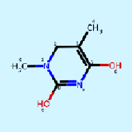 [CH2]N1CC(C)=C(O)N=C1O